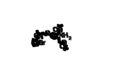 Cc1oc(-c2ccccc2Br)nc1CCOc1ccc(CCC(=O)OC(C)(C)C)c(C(N)C(=O)OC(C)C)c1